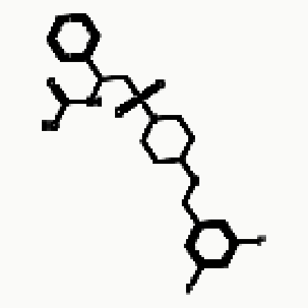 O=C(O)NC(CS(=O)(=O)N1CCC(OCc2cc(F)cc(F)c2)CC1)c1ccccc1